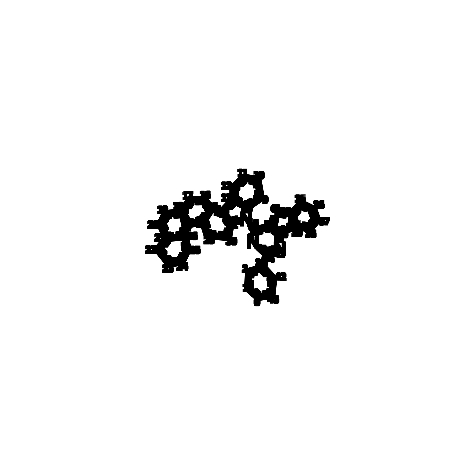 c1ccc(-c2nc(-n3c4ccccc4c4c5ccc6ccc7ccccc7c6c5ccc43)c3sc4ccccc4c3n2)cc1